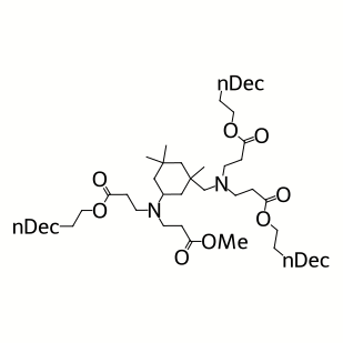 CCCCCCCCCCCCOC(=O)CCN(CCC(=O)OCCCCCCCCCCCC)CC1(C)CC(N(CCC(=O)OC)CCC(=O)OCCCCCCCCCCCC)CC(C)(C)C1